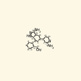 Nc1cc(-c2cc(-c3ccccc3CO)c3[nH]nc(N)c3c2)ccn1